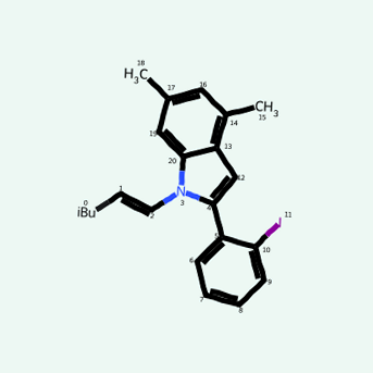 CCC(C)C=Cn1c(-c2ccccc2I)cc2c(C)cc(C)cc21